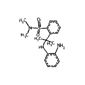 CN(C)S(=O)(=O)c1ccccc1C(C)(C)Nc1ccccc1N